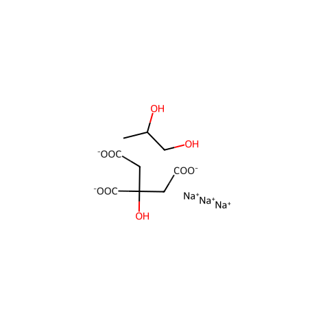 CC(O)CO.O=C([O-])CC(O)(CC(=O)[O-])C(=O)[O-].[Na+].[Na+].[Na+]